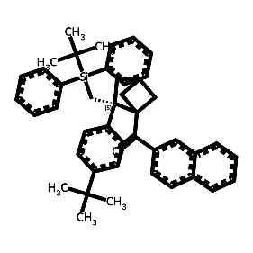 CC(C)(C)c1ccc([C@@]2(C[Si](c3ccccc3)(c3ccccc3)C(C)(C)C)CC3CC2(C(=O)c2ccc4ccccc4c2)C3)cc1